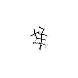 CCC(C)(C)C(C)(CC(C)(C)C)P(=O)(O)O